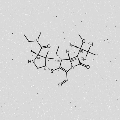 [2H]C([2H])(C)[C@@]([2H])(OC)[C@H]1C(=O)N2C(C=O)=C(S[C@@H]3CN[C@](C)(C(=O)N(C)CC)C3(C)C)[C@H](CC)[C@H]12